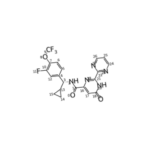 O=C(N[C@@H](c1ccc(OC(F)(F)F)c(F)c1)C1CC1)c1cc(=O)[nH]c(-c2ncccn2)n1